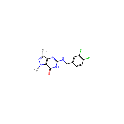 Cc1nn(C)c2c(=O)[nH]c(NCc3ccc(Cl)c(Cl)c3)nc12